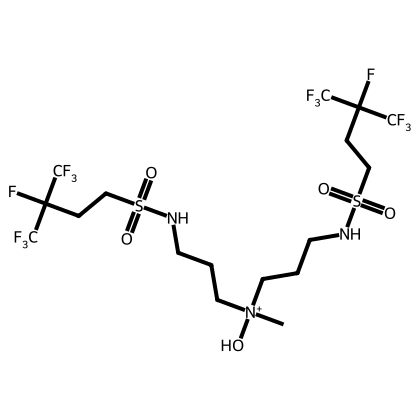 C[N+](O)(CCCNS(=O)(=O)CCC(F)(C(F)(F)F)C(F)(F)F)CCCNS(=O)(=O)CCC(F)(C(F)(F)F)C(F)(F)F